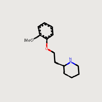 COc1cc[c]cc1OCCC1CCCCN1